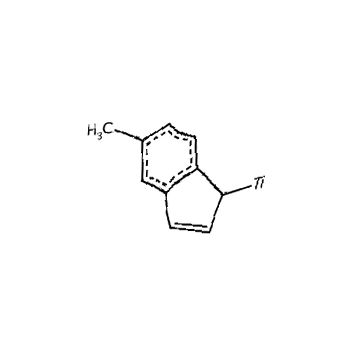 Cc1ccc2c(c1)C=C[CH]2[Ti]